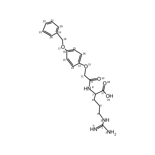 N=C(N)NCCCC(NC(=O)COc1ccc(OCc2ccccc2)cc1)C(=O)O